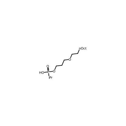 CCCCCCCCCCOCCCOP(=O)(O)C(C)C